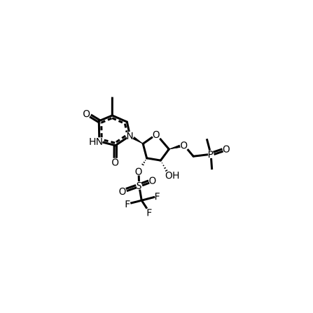 Cc1cn([C@H]2O[C@@H](OCP(C)(C)=O)[C@H](O)[C@@H]2OS(=O)(=O)C(F)(F)F)c(=O)[nH]c1=O